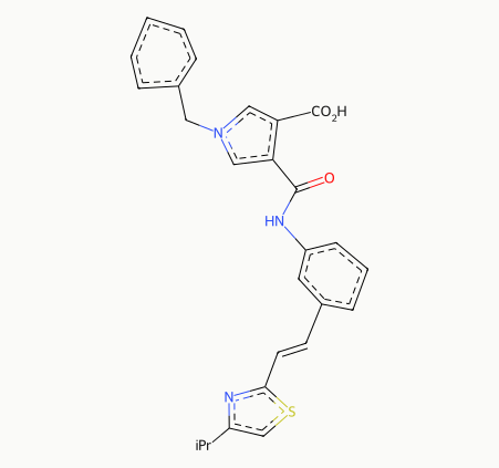 CC(C)c1csc(C=Cc2cccc(NC(=O)c3cn(Cc4ccccc4)cc3C(=O)O)c2)n1